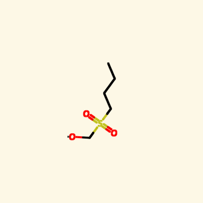 CCCCS(=O)(=O)C[O]